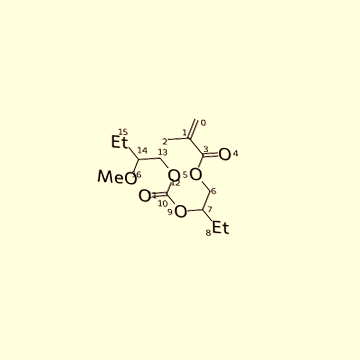 C=C(C)C(=O)OCC(CC)OC(=O)OCC(CC)OC